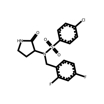 O=C1NCCC1N(Cc1ccc(F)cc1F)S(=O)(=O)c1ccc(Cl)cc1